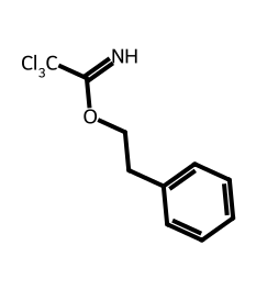 N=C(OCCc1ccccc1)C(Cl)(Cl)Cl